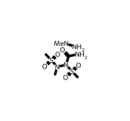 CN(N(C(N)=O)S(C)(=O)=O)S(C)(=O)=O.CNN